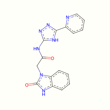 O=C(Cn1c(=O)[nH]c2ccccc21)Nc1nnc(-c2ccccn2)[nH]1